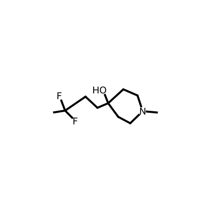 CN1CCC(O)(CCC(C)(F)F)CC1